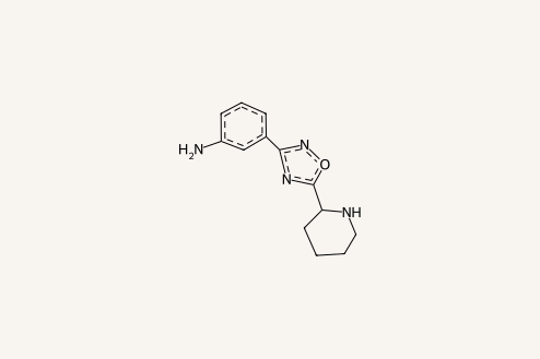 Nc1cccc(-c2noc(C3CCCCN3)n2)c1